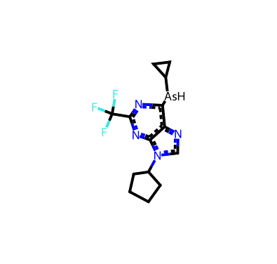 FC(F)(F)c1nc([AsH]C2CC2)c2ncn(C3CCCC3)c2n1